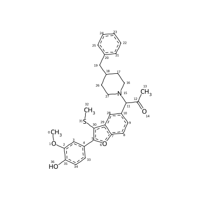 COc1cc(-c2oc3ccc(C(C(C)=O)N4CCC(Cc5ccccc5)CC4)cc3c2SC)ccc1O